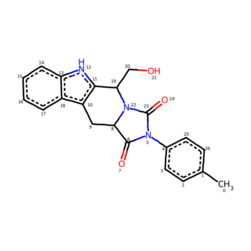 Cc1ccc(N2C(=O)C3Cc4c([nH]c5ccccc45)C(CO)N3C2=O)cc1